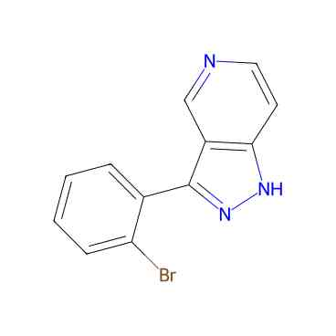 Brc1ccccc1-c1n[nH]c2ccncc12